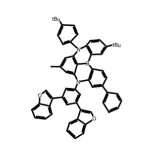 Cc1cc2c3c(c1)N(c1cc(-c4coc5ccccc45)cc(-c4coc5ccccc45)c1)c1cc(-c4ccccc4)ccc1B3c1cc(C(C)(C)C)ccc1N2c1ccc(C(C)(C)C)cc1